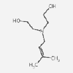 CC(C)=CCN(CCO)CCO